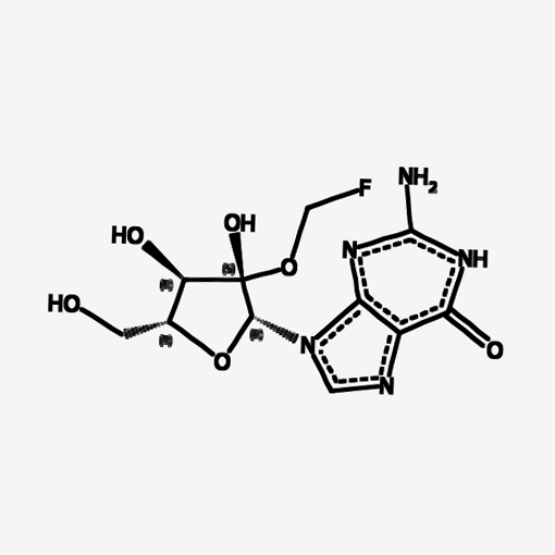 Nc1nc2c(ncn2[C@@H]2O[C@H](CO)[C@@H](O)[C@]2(O)OCF)c(=O)[nH]1